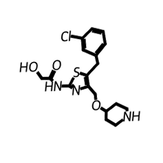 O=C(CO)Nc1nc(COC2CCNCC2)c(Cc2cccc(Cl)c2)s1